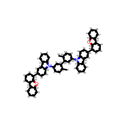 Cc1ccc(-n2c3ccccc3c3cc(-c4cccc5c4oc4ccccc45)ccc32)cc1-c1cc(-n2c3ccccc3c3cc(-c4cccc5c4oc4ccccc45)ccc32)ccc1C